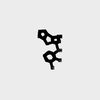 Clc1cccc(Nc2n[nH]c3c2Cc2sccc2-3)c1Cl